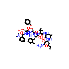 CCCC[C@H](NC(=O)[C@H](CC(C)C)NC(=O)[C@@H](NC(=O)[C@H](Cc1ccccc1C)NC(=O)[C@@H](COCc1ccccc1)NC(=O)[C@H](CO)NC(=O)c1ccccc1N(C)C)C(C)(C)C)C(=O)C(N)=O